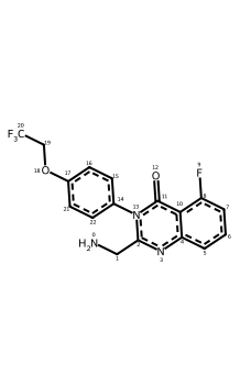 NCc1nc2cccc(F)c2c(=O)n1-c1ccc(OCC(F)(F)F)cc1